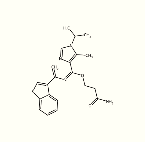 C=C(/N=C(/OCCC(N)=O)c1ncn(C(C)C)c1C)c1csc2ccccc12